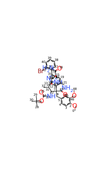 COc1ccc(CC(C(N)=O)(c2c(C)cc(C(N)=O)cc2C)C(NC(=O)OC(C)(C)C)C(C)c2nc(-c3ccccc3Br)c[nH]2)cc1OC